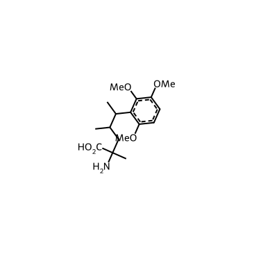 COc1ccc(OC)c(C(C)C(C)CC(C)(N)C(=O)O)c1OC